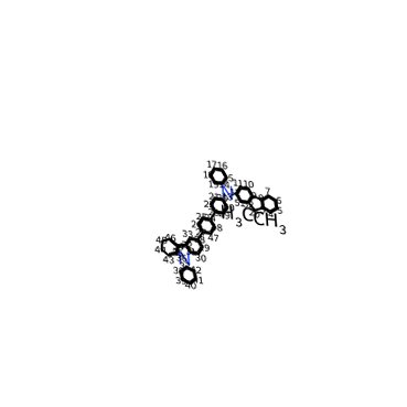 CC1(C)c2ccccc2-c2ccc(N(c3ccccc3)c3ccc(-c4ccc(-c5ccc6c(c5)c5c(n6-c6ccccc6)=CCCC=5)cc4)cc3)cc21